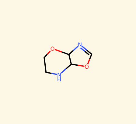 C1=NC2OCCNC2O1